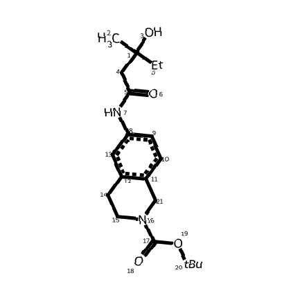 CCC(C)(O)CC(=O)Nc1ccc2c(c1)CCN(C(=O)OC(C)(C)C)C2